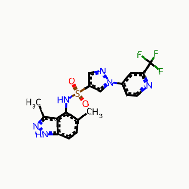 Cc1ccc2[nH]nc(C)c2c1NS(=O)(=O)c1cnn(-c2ccnc(C(F)(F)F)c2)c1